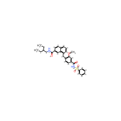 CCC(CC)CNC(=O)c1ccc2cccc(Cc3ccc(C(=O)NS(=O)(=O)c4ccccc4)cc3OC)c2c1